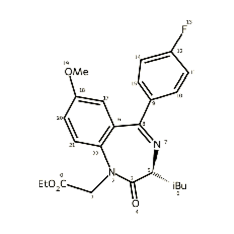 CCOC(=O)CN1C(=O)[C@H]([C@@H](C)CC)N=C(c2ccc(F)cc2)c2cc(OC)ccc21